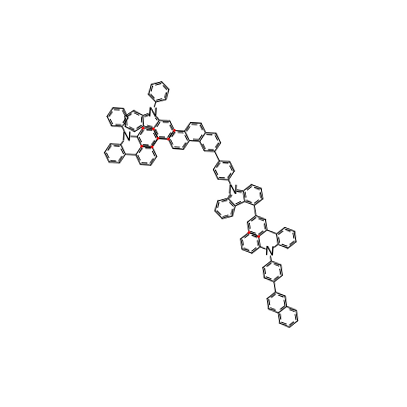 c1ccc(N(c2ccc(-c3ccc4c(ccc5ccc(-c6ccc(-n7c8ccccc8c8c(-c9cccc(-c%10ccccc%10N(c%10ccccc%10)c%10ccc(-c%11ccc%12ccccc%12c%11)cc%10)c9)cccc87)cc6)cc54)c3)cc2)c2ccccc2-c2cccc(-c3cccc4c3c3ccccc3n4-c3ccccc3)c2)cc1